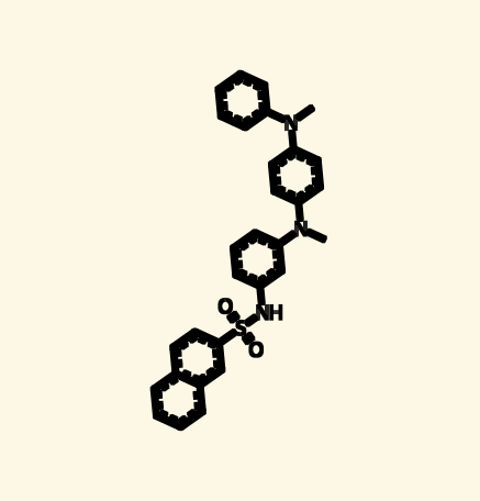 CN(c1ccccc1)c1ccc(N(C)c2cccc(NS(=O)(=O)c3ccc4ccccc4c3)c2)cc1